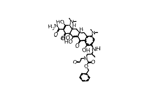 CC(CN(CC=O)C(=O)OCc1ccccc1)Nc1cc(N(C)C)c2c(c1O)C(=O)C1=C(O)[C@]3(O)C(=O)C(C(N)=O)=C(O)[C@@H](N(C)C)[C@@H]3C[C@@H]1C2